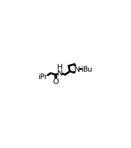 CCC(C)N1CCC(CNC(=O)CC(C)C)C1